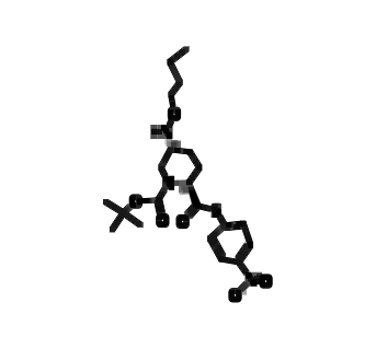 CCCCON[C@@H]1CC[C@@H](C(=O)Sc2ccc([N+](=O)[O-])cc2)N(C(=O)OC(C)(C)C)C1